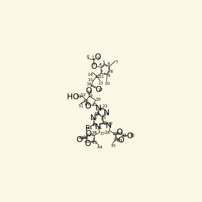 CC(=O)Oc1cc(C)cc(C)c1C(C)(C)CC(=O)O[C@H]1C[C@H](n2cnc3/c(=N/Cc4oc(=O)oc4C)n(Cc4oc(=O)oc4C)c(F)nc32)O[C@]1(C)CO